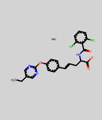 CCc1cnc(Oc2ccc(/C=C/CC(NC(=O)c3c(Cl)cccc3Cl)C(=O)[O-])cc2)nc1.[Na+]